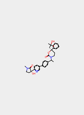 CC(c1ccc(-c2ccc([C@@]3(O)CCN(C)C3=O)nc2)cc1)N1CC[C@](CC(C)(C)O)(c2ccccc2)OC1=O